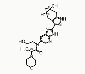 C[C@@H](C(=O)N(CCO)c1cnc2[nH]c(-c3n[nH]c4c3C[C@@H]3C[C@]3(C)C4)nc2c1)N1CCOCC1